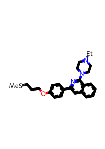 CCN1CCN(c2nc(-c3ccc(OCCCSC)cc3)cc3ccccc23)CC1